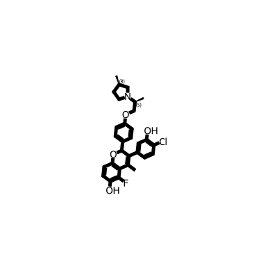 CC1=C(c2ccc(Cl)c(O)c2)C(c2ccc(OC[C@H](C)N3CC[C@@H](C)C3)cc2)Oc2ccc(O)c(F)c21